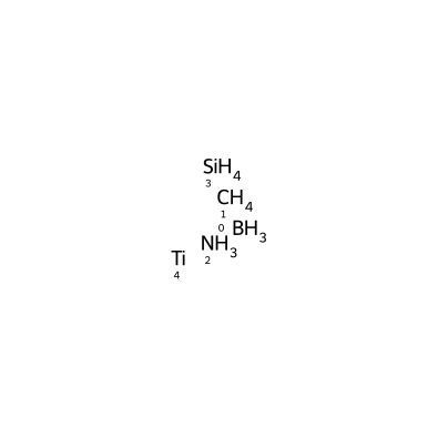 B.C.N.[SiH4].[Ti]